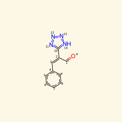 O=[C]C(=Cc1ccccc1)c1nnn[nH]1